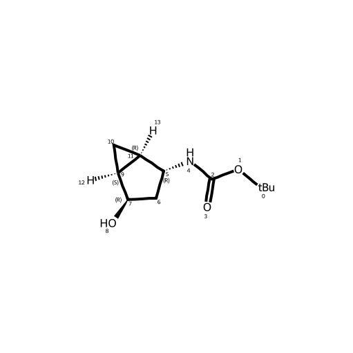 CC(C)(C)OC(=O)N[C@@H]1C[C@@H](O)[C@H]2C[C@H]21